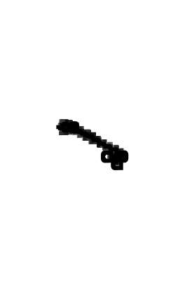 O=[C]C(CCCCCCCCCCCCCCOC1CC[CH]CC1)C(Cl)CCl